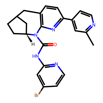 Cc1cc(-c2ccc3c(n2)N(C(=O)Nc2cc(Br)ccn2)[C@@H]2CCC(C3)C2)ccn1